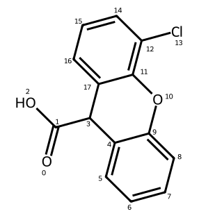 O=C(O)C1c2ccccc2Oc2c(Cl)cccc21